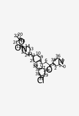 Cc1cc(C(=O)C[C@H](c2ccc(C3CCN(C(=O)OC(C)(C)C)CC3)cc2)c2ccc(Cl)cc2C)ccn1